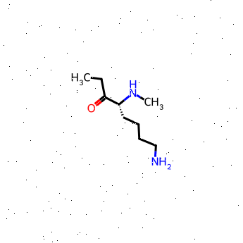 CCC(=O)[C@@H](CCCCN)NC